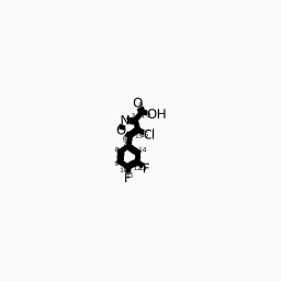 O=C(O)c1noc(-c2ccc(F)c(F)c2)c1Cl